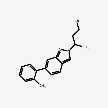 Cc1ccccc1-c1ccc2cn(C(C)CCO)nc2c1